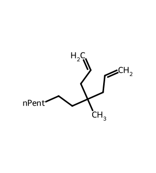 C=CCC(C)(CC=C)CCCCCCC